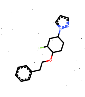 FC1CC(n2cccn2)CCC1OCCc1ccccc1